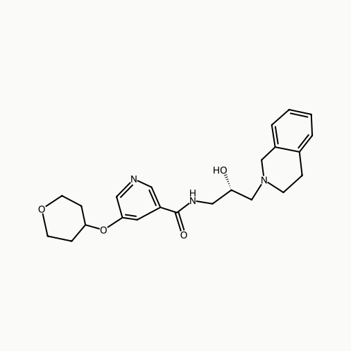 O=C(NC[C@H](O)CN1CCc2ccccc2C1)c1cncc(OC2CCOCC2)c1